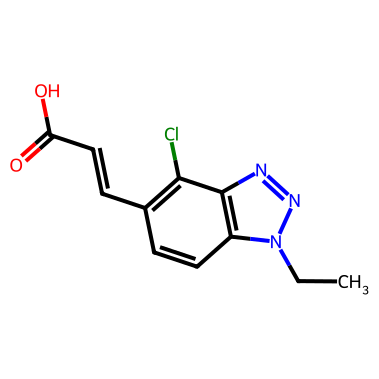 CCn1nnc2c(Cl)c(C=CC(=O)O)ccc21